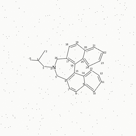 CC(C)CN1Cc2ccc3ccccc3c2-c2c(ccc3ccccc23)C1